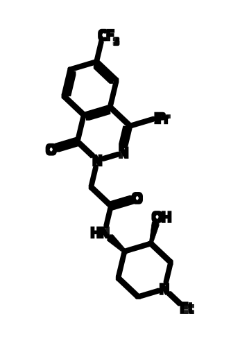 CCN1CC[C@@H](NC(=O)Cn2nc(C(C)C)c3cc(C(F)(F)F)ccc3c2=O)[C@@H](O)C1